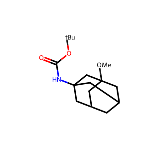 COC12CC3CC(CC(NC(=O)OC(C)(C)C)(C3)C1)C2